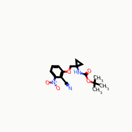 CC(C)(C)OC(=O)NC1(COc2cccc([N+](=O)[O-])c2C#N)CC1